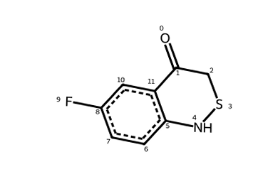 O=C1CSNc2ccc(F)cc21